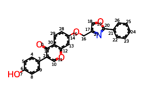 O=c1c(-c2ccc(O)cc2)coc2cc(OCc3coc(-c4ccccc4)n3)ccc12